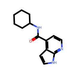 O=C(NC1CCCCC1)c1ccnc2[nH]ccc12